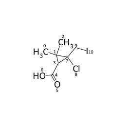 CC1(C)C(C(=O)O)C1(Cl)CI